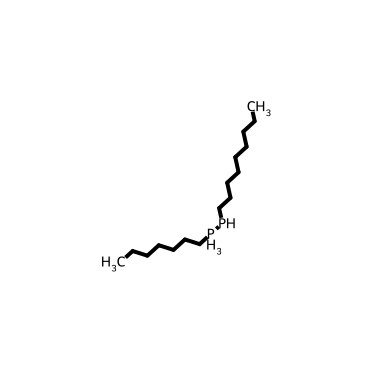 CCCCCCCCCP[PH3]CCCCCCC